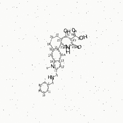 Cn1c(CNCc2ccccc2)cc2cc3c(cc21)CCCc1c-3[nH]c(=O)c(C(=O)O)c1O